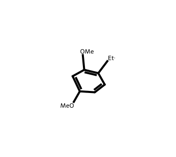 C[CH]c1ccc(OC)cc1OC